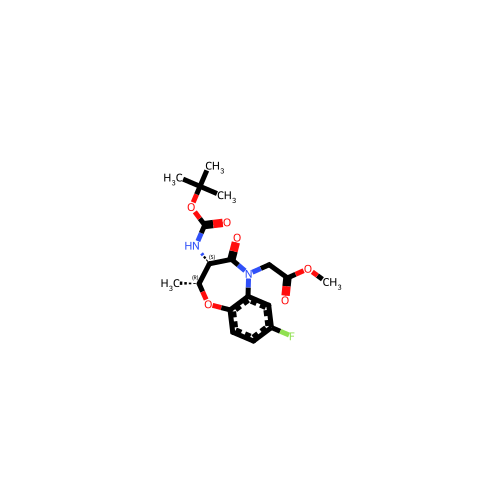 COC(=O)CN1C(=O)[C@@H](NC(=O)OC(C)(C)C)[C@@H](C)Oc2ccc(F)cc21